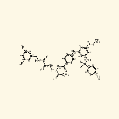 COC(=O)[C@H](CNC(=O)C(=O)NCc1cc(F)cc(F)c1)NC(=O)c1ccc(Nc2nc(NC3(c4ccc(Cl)cc4)CC3)nc(OCC(F)(F)F)n2)cc1